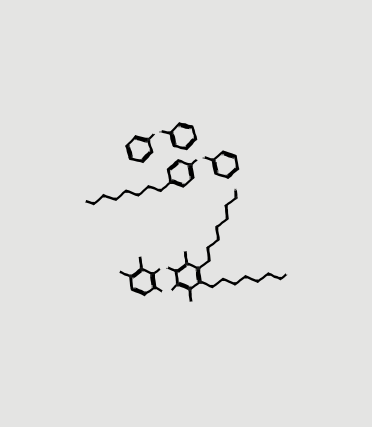 Cc1ccc(C)c(Sc2c(C)c(C)c(CCCCCCCC(=O)O)c(CCCCCCCC(=O)O)c2C)c1C.O=C(O)CCCCCCCc1ccc(Sc2cc[c]cc2)cc1.[c]1ccc(Sc2cc[c]cc2)cc1